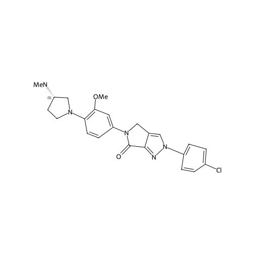 CN[C@H]1CCN(c2ccc(N3Cc4cn(-c5ccc(Cl)cc5)nc4C3=O)cc2OC)C1